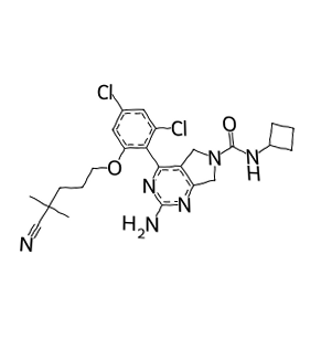 CC(C)(C#N)CCCOc1cc(Cl)cc(Cl)c1-c1nc(N)nc2c1CN(C(=O)NC1CCC1)C2